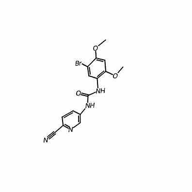 COc1cc(OC)c(NC(=O)Nc2ccc(C#N)nc2)cc1Br